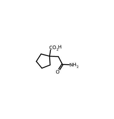 NC(=O)CC1(C(=O)O)CCCC1